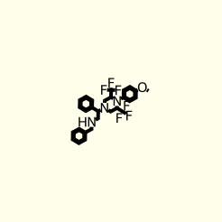 COc1ccc(N2C(C(F)(F)F)CN(C(CNCc3ccccc3)c3ccccc3)CC2C(F)(F)F)cc1